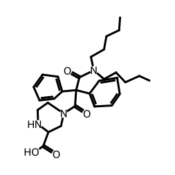 CCCCCN(CCCCC)C(=O)C(C(=O)N1CCNC(C(=O)O)C1)(c1ccccc1)c1ccccc1